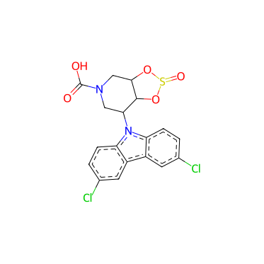 O=C(O)N1CC2OS(=O)OC2C(n2c3ccc(Cl)cc3c3cc(Cl)ccc32)C1